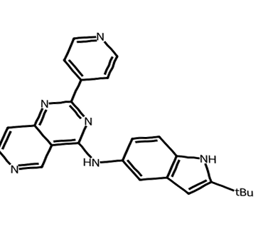 CC(C)(C)c1cc2cc(Nc3nc(-c4ccncc4)nc4ccncc34)ccc2[nH]1